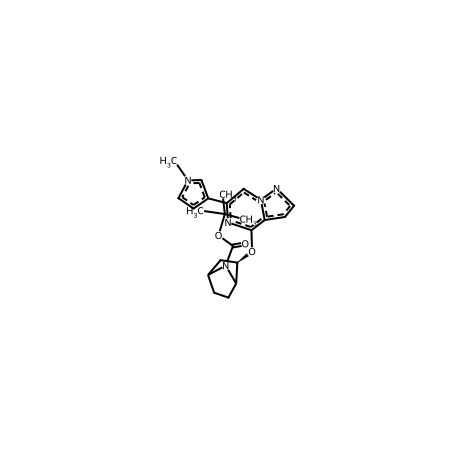 Cn1ccc(-c2cn3nccc3c(O[C@@H]3CC4CCC3N4C(=O)OC(C)(C)C)n2)c1